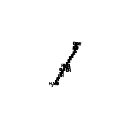 NC(=O)COCCOCCNC(=O)CC[C@H](NC(=O)CCCCCCCCCOc1ccc(C(=O)O)cc1)C(=O)O